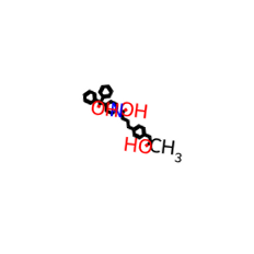 CC(O)Cc1ccc(CCCC(O)N2CCC(C(O)(c3ccccc3)c3ccccc3)CC2)cc1